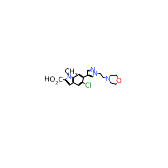 Cn1c(C(=O)O)cc2cc(Cl)c(-c3cnn(CCN4CCOCC4)c3)cc21